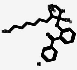 CCCCCCCCCCCCCCCCC(C)C(C)(NCCCCCC)Oc1ccccc1C(=O)c1ccccc1.I